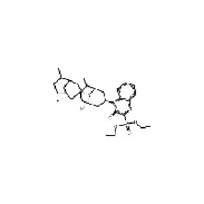 CCOP(=O)(OCC)c1nc2ccccc2n([C@@H]2CC3C(C)CC[C@H](C2)N3[C@H]2CC3C[C@H](CCC3C)C2)c1=O